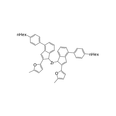 CCCCCCc1ccc(-c2cccc3c2C=C(c2ccc(C)o2)[CH]3[Zr][CH]2C(c3ccc(C)o3)=Cc3c(-c4ccc(CCCCCC)cc4)cccc32)cc1